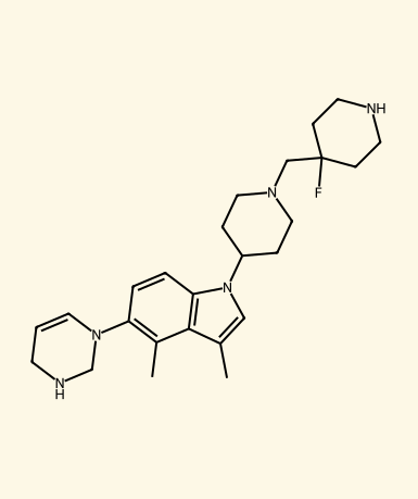 Cc1cn(C2CCN(CC3(F)CCNCC3)CC2)c2ccc(N3C=CCNC3)c(C)c12